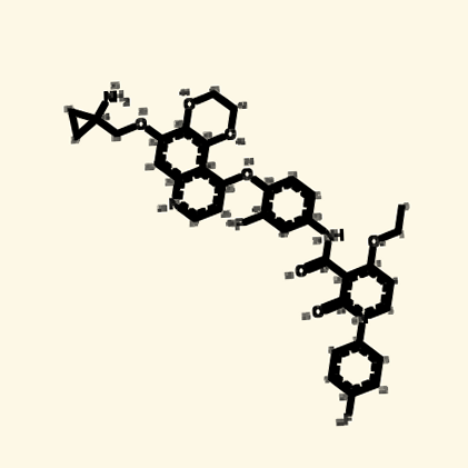 CCOc1ccn(-c2ccc(F)cc2)c(=O)c1C(=O)Nc1ccc(Oc2ccnc3cc(OCC4(N)CC4)c4c(c23)OCCO4)c(F)c1